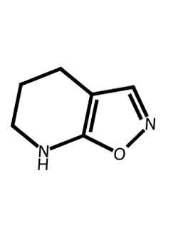 c1noc2c1CCCN2